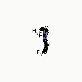 Cc1cccc(N2C(=O)CS/C2=N\C(=S)N/N=C/c2ccc(-c3ncn(-c4ccc(OC(F)(F)F)cc4)n3)cc2)c1